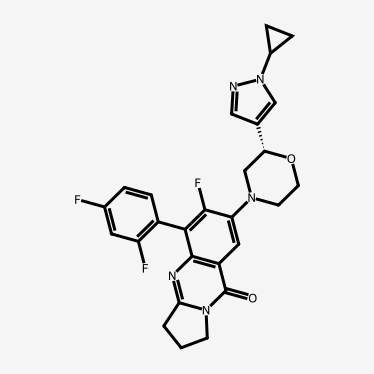 O=c1c2cc(N3CCO[C@@H](c4cnn(C5CC5)c4)C3)c(F)c(-c3ccc(F)cc3F)c2nc2n1CCC2